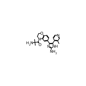 Cc1cnccc1-c1[nH]c(N)nc1-c1ccc2c(c1)N(C(=O)C(C)(C)N)CCO2